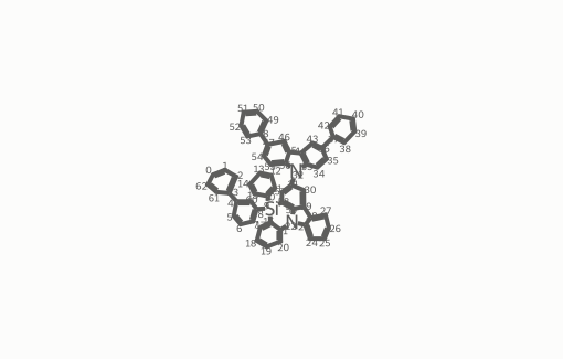 c1ccc(-c2cccc([Si]3(c4ccccc4)c4ccccc4-n4c5ccccc5c5cc(-n6c7ccc(-c8ccccc8)cc7c7cc(-c8ccccc8)ccc76)cc3c54)c2)cc1